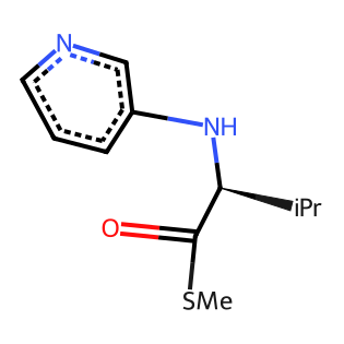 CSC(=O)[C@@H](Nc1cccnc1)C(C)C